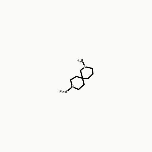 BN1CCCC2(CCN(C(C)CCC)CC2)C1